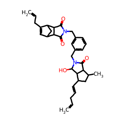 C=CC/C=C/C1CC(C)C2C(=O)N(Cc3cccc(CN4C(=O)C5C6C=C(CC=C)C(C6)C5C4=O)c3)C(O)C12